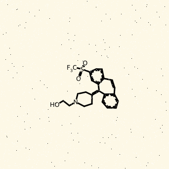 O=S(=O)(c1ccc2c(c1)C(=C1CCN(CCO)CC1)c1ccccc1C=C2)C(F)(F)F